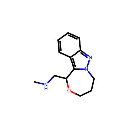 CNCC1OCCCn2nc3ccccc3c21